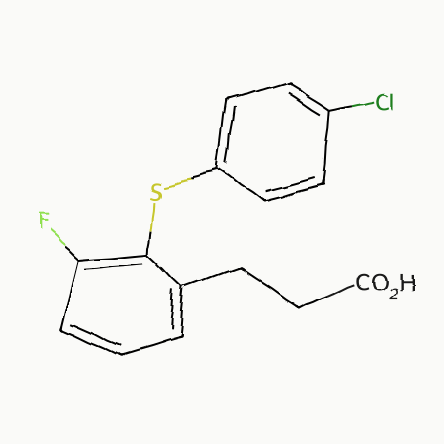 O=C(O)CCc1cccc(F)c1Sc1ccc(Cl)cc1